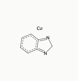 [Cu].c1ccc2c(c1)=NCN=2